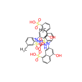 Cc1ccc2c(NC(=O)Nc3c4ccc(C)c3S(=O)(=O)N4c3cc(O)c4cccc(S(=O)(=O)O)c4c3)c1S(=O)(=O)N2c1cc(O)c2cccc(S(=O)(=O)O)c2c1